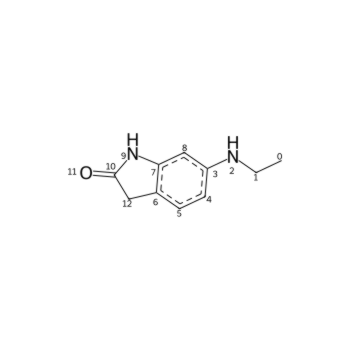 CCNc1ccc2c(c1)NC(=O)C2